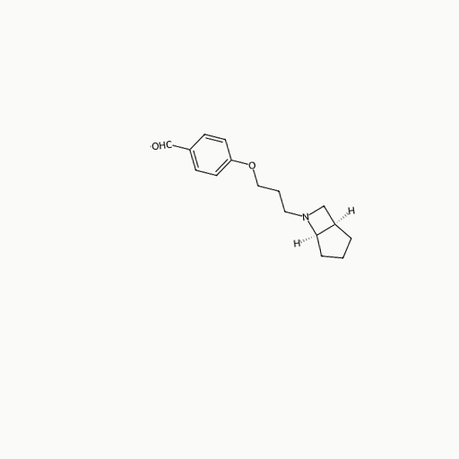 O=[C]c1ccc(OCCCN2C[C@H]3CCC[C@H]32)cc1